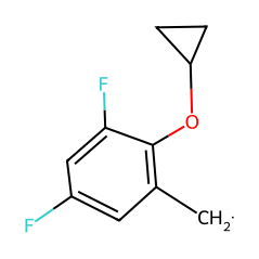 [CH2]c1cc(F)cc(F)c1OC1CC1